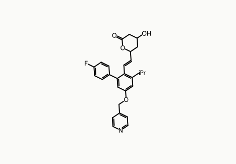 CC(C)c1cc(OCc2ccncc2)cc(-c2ccc(F)cc2)c1C=CC1CC(O)CC(=O)O1